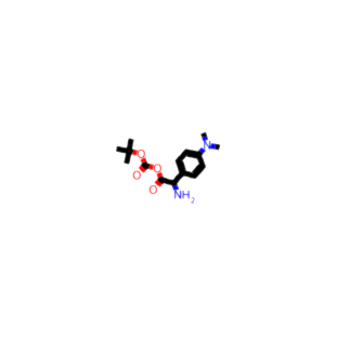 CN(C)c1ccc(C(N)C(=O)OC(=O)OC(C)(C)C)cc1